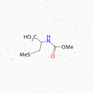 COC(=O)NC(CSC)C(=O)O